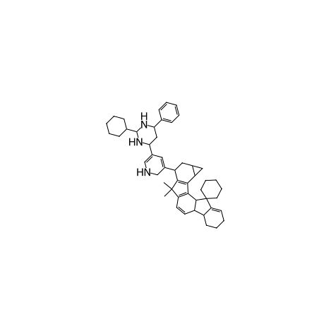 CC1(C)C2=C(C3=C1C(C1=CC(C4CC(c5ccccc5)NC(C5CCCCC5)N4)=CNC1)CC1CC31)C1C(C=C2)C2CCCC=C2C12CCCCC2